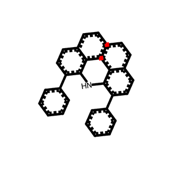 c1ccc(-c2ccc3ccccc3c2Nc2c(-c3ccccc3)ccc3ccccc23)cc1